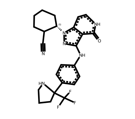 N#CC1CCCC[C@@H]1n1nc(Nc2ccc(C3(C(F)(F)F)CCCN3)cc2)c2c(=O)[nH]ccc21